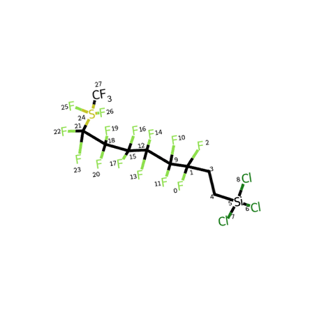 FC(F)(CC[Si](Cl)(Cl)Cl)C(F)(F)C(F)(F)C(F)(F)C(F)(F)C(F)(F)S(F)(F)C(F)(F)F